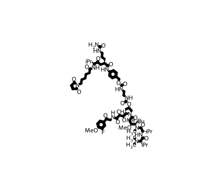 CC[C@H](C)[C@@H]([C@@H](CC(=O)N1C[C@@H](OC(=O)NCCNC(=O)OCc2ccc(NC(=O)[C@H](CCCNC(N)=O)CC(=O)[C@@H](NC(=O)CCCCCN3C(=O)C=CC3=O)C(C)C)cc2)C[C@H]1[C@H](OC)[C@@H](C)C(=O)NCC(=O)c1ccc(OC)c(F)c1)OC)N(C)C(=O)[C@@H](NC(=O)[C@H](C(C)C)N(C)C)C(C)C